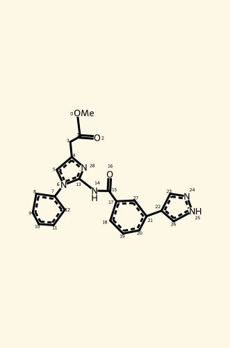 COC(=O)Cc1cn(-c2ccccc2)c(NC(=O)c2cccc(-c3cn[nH]c3)c2)n1